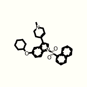 CN1CC=C(c2cn(S(=O)(=O)c3cccc4ccccc34)c3ccc(OC4CCCCC4)cc23)CC1